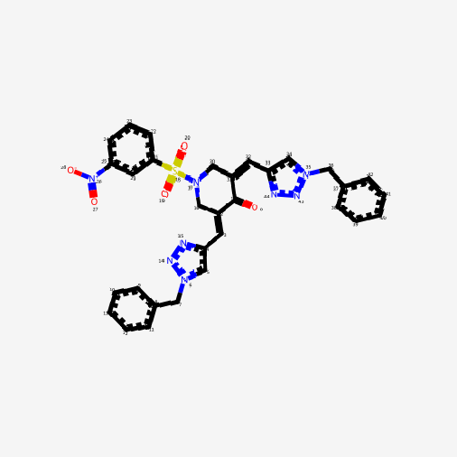 O=C1C(=Cc2cn(Cc3ccccc3)nn2)CN(S(=O)(=O)c2cccc([N+](=O)[O-])c2)CC1=Cc1cn(Cc2ccccc2)nn1